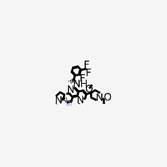 COC1(C2=Cc3c(N[C@H](C)c4cccc(C(F)F)c4F)nc(C)c(/C=C\[C@H]4CCCN4C)c3N(C)C2)CCN(C(C)=O)CC1